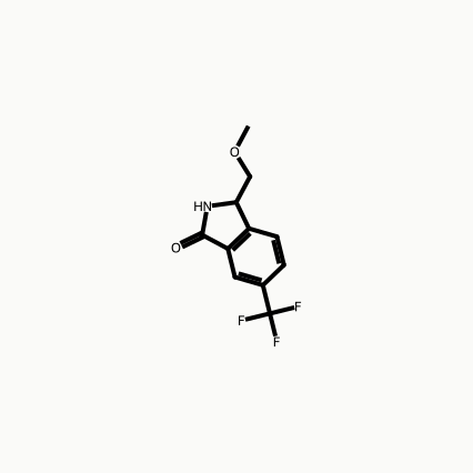 COCC1NC(=O)c2cc(C(F)(F)F)ccc21